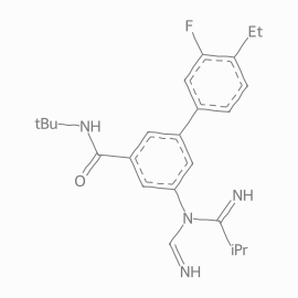 CCc1ccc(-c2cc(C(=O)NC(C)(C)C)cc(N(C=N)C(=N)C(C)C)c2)cc1F